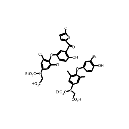 CCOC(=O)N(CC(=O)O)c1cc(C)c(Oc2ccc(O)c(C(C)CC)c2)c(C)c1.CCOC(=O)N(CC(=O)O)c1cc(Cl)c(Oc2ccc(O)c(C(=O)c3ccc(Cl)s3)c2)c(Cl)c1